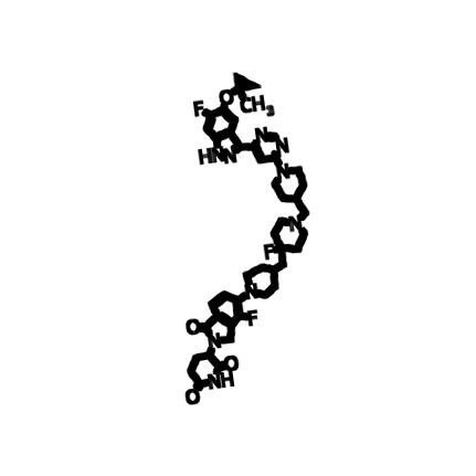 CC1(Oc2cc3c(-c4cc(N5CCC(CN6CCC(F)(CC7CCN(c8ccc9c(c8F)CN(C8CCC(=O)NC8=O)C9=O)CC7)CC6)CC5)ncn4)n[nH]c3cc2F)CC1